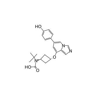 CC(C)(C)N(C(=O)O)[C@H]1C[C@H](Oc2cc(-c3ccc(O)cc3)cn3cncc23)C1